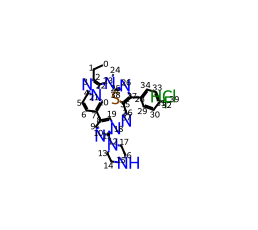 CCc1nc2ccc(-c3cnc(N4CCNCC4)nc3)cn2c1N(C)c1nc(-c2ccc(F)cc2)c(C#N)s1.Cl